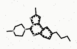 CCCCc1ccc2nc(N3CCN(C)CC3)n3nc(C)cc3c2c1